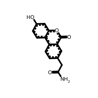 NC(=O)Cc1ccc2c(c1)c(=O)oc1cc(O)ccc12